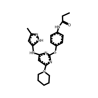 CCC(=O)Nc1ccc(Sc2nc(Nc3cc(C)n[nH]3)cc(N3CCCCC3)n2)cc1